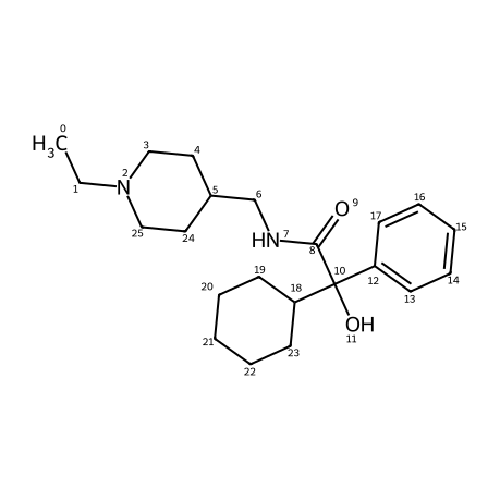 CCN1CCC(CNC(=O)C(O)(c2ccccc2)C2CCCCC2)CC1